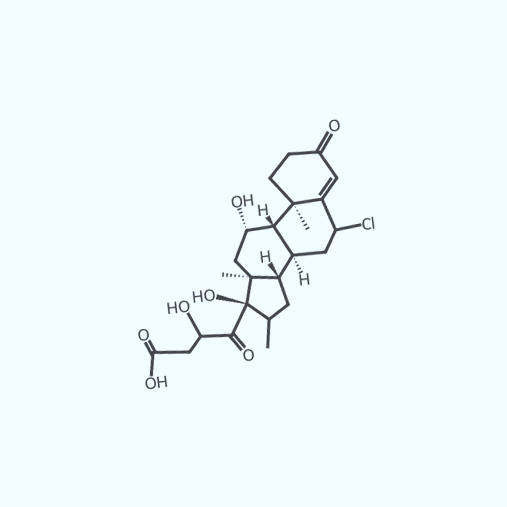 CC1C[C@H]2[C@@H]3CC(Cl)C4=CC(=O)CC[C@]4(C)[C@H]3[C@@H](O)C[C@]2(C)[C@@]1(O)C(=O)C(O)CC(=O)O